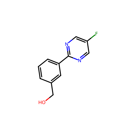 OCc1cccc(-c2ncc(F)cn2)c1